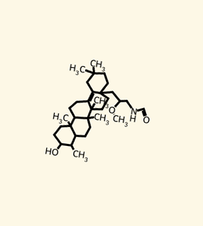 COC(CNC=O)CC12CCC(C)(C)CC1=C1CCC3C4(C)CCC(O)C(C)C4CCC3(C)C1(C)CC2